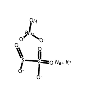 O=S([O-])S(=O)(=O)[O-].[K+].[Na+].[O-][Br+2]([O-])O